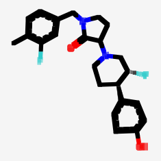 Cc1ccc(CN2CCC(N3CC[C@H](c4ccc(O)cc4)[C@@H](F)C3)C2=O)cc1F